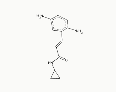 Nc1ccc(N)c(C=CC(=O)NC2CC2)c1